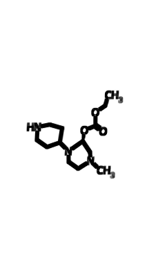 CCOC(=O)O[C@H]1CN(C)CCN1C1CCNCC1